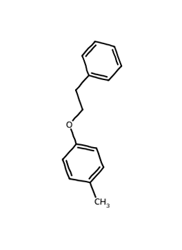 Cc1ccc(OCCc2ccccc2)cc1